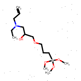 C=CCN(CC)CC(O)COCCC[Si](OC)(OC)OC